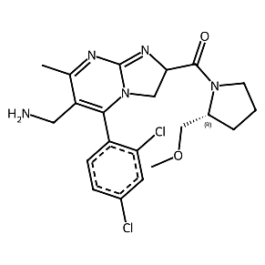 COC[C@H]1CCCN1C(=O)C1CN2C(=N1)N=C(C)C(CN)=C2c1ccc(Cl)cc1Cl